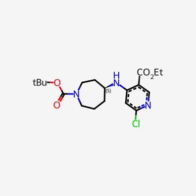 CCOC(=O)c1cnc(Cl)cc1N[C@H]1CCCN(C(=O)OC(C)(C)C)CC1